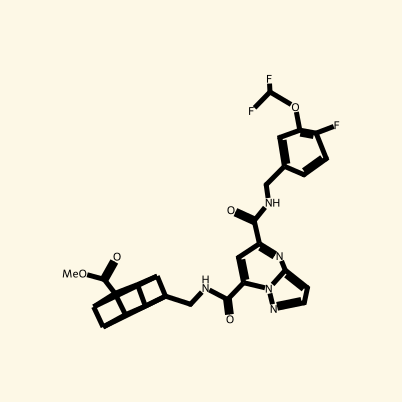 COC(=O)C12C3C4C1C1C2C3C41CNC(=O)c1cc(C(=O)NCc2ccc(F)c(OC(F)F)c2)nc2ccnn12